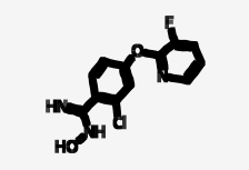 N=C(NO)c1ccc(Oc2ncccc2F)cc1Cl